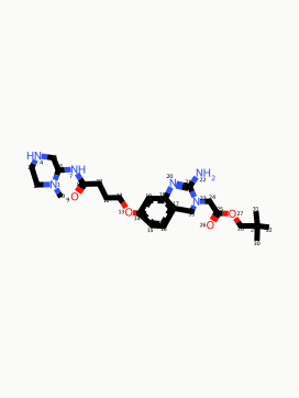 CN1CCNCC1NC(=O)CCCOc1ccc2c(c1)N=C(N)N(CC(=O)OCC(C)(C)C)C2